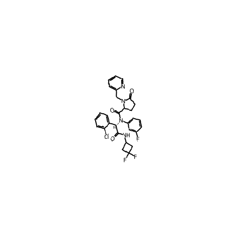 O=C(NC1CC(F)(F)C1)[C@H](c1ccccc1Cl)N(C(=O)C1CCC(=O)N1Cc1ccccn1)c1cccc(F)c1